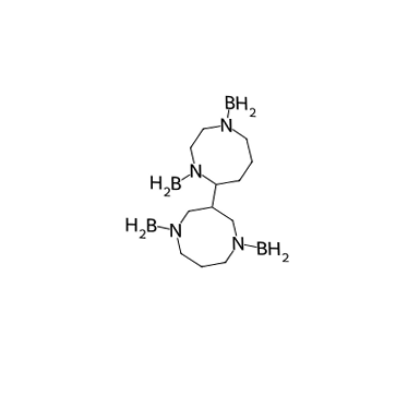 BN1CCCC(C2CN(B)CCCN(B)C2)N(B)CC1